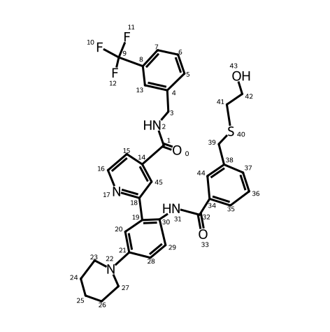 O=C(NCc1cccc(C(F)(F)F)c1)c1ccnc(-c2cc(N3CCCCC3)ccc2NC(=O)c2cccc(CSCCO)c2)c1